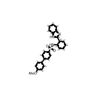 COc1ccc(-c2ccc(S(=O)(=O)Nc3ccccc3-c3nc4ccccc4[nH]3)cc2)cc1